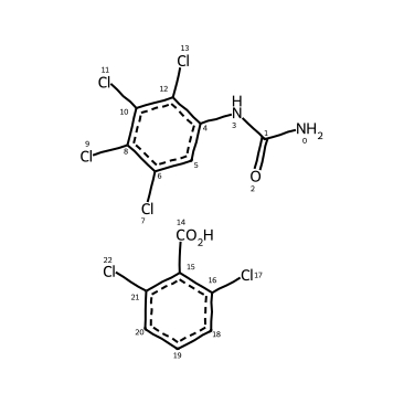 NC(=O)Nc1cc(Cl)c(Cl)c(Cl)c1Cl.O=C(O)c1c(Cl)cccc1Cl